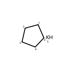 [CH]1CCCC1.[KH]